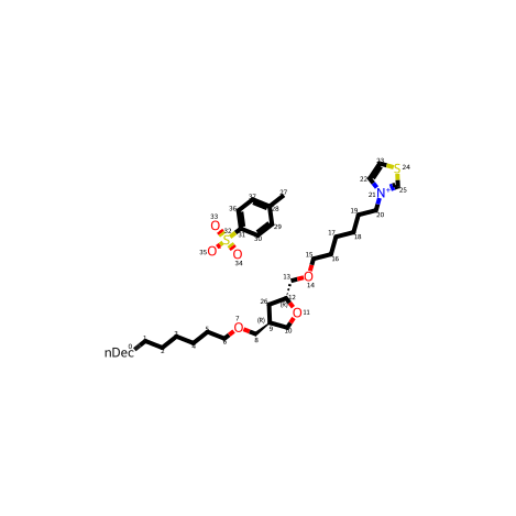 CCCCCCCCCCCCCCCCOC[C@@H]1CO[C@@H](COCCCCCC[n+]2ccsc2)C1.Cc1ccc(S(=O)(=O)[O-])cc1